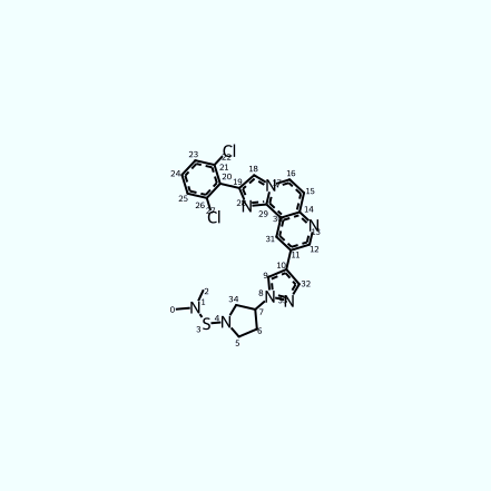 CN(C)SN1CCC(n2cc(-c3cnc4ccn5cc(-c6c(Cl)cccc6Cl)nc5c4c3)cn2)C1